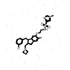 Cn1cnc(S(=O)(=O)NCCOc2cc3c(cc2F)CC(CN2CCC2)C3Cc2cccc(Cl)c2)c1